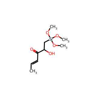 CC=CC(=O)C(O)C[Si](OC)(OC)OC